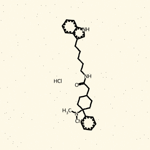 CN(C)C1(c2ccccc2)CCC(CC(=O)NCCCCCc2c[nH]c3ccccc23)CC1.Cl